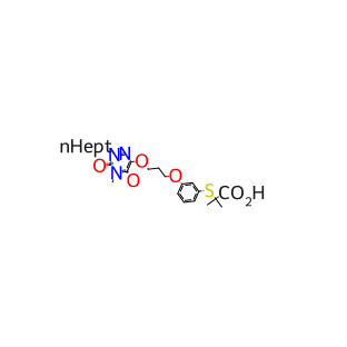 CCCCCCCn1nc(OCCCOc2cccc(SC(C)(C)C(=O)O)c2)c(=O)n(C)c1=O